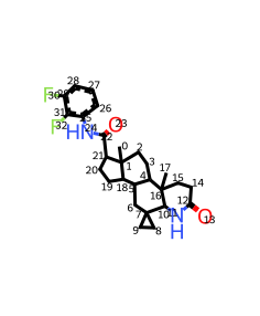 CC12CCC3C(CC4(CC4)C4NC(=O)CCC34C)C1CCC2C(=O)Nc1cccc(F)c1F